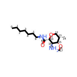 CCCCCCCNC(=O)[C@@H]1OC[C@H](C)[C@H](OC)[C@H]1N